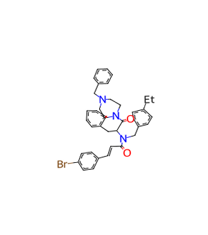 CCc1ccc(CN(C(=O)C=Cc2ccc(Br)cc2)C(Cc2ccccc2)C(=O)N2CCN(Cc3ccccc3)CC2)cc1